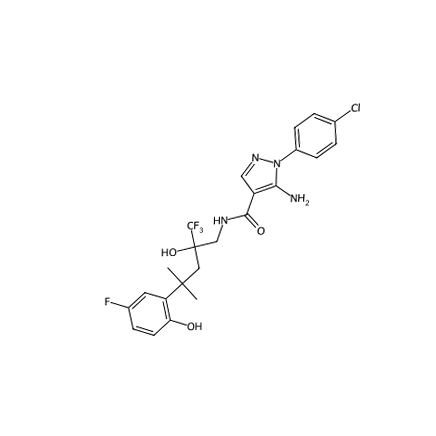 CC(C)(CC(O)(CNC(=O)c1cnn(-c2ccc(Cl)cc2)c1N)C(F)(F)F)c1cc(F)ccc1O